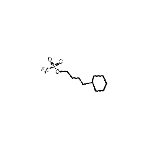 O=S(=O)(OCCCCC1CCCCC1)C(F)(F)F